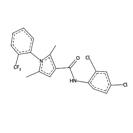 Cc1cc(C(=O)Nc2ccc(Cl)cc2Cl)c(C)n1-c1ccccc1C(F)(F)F